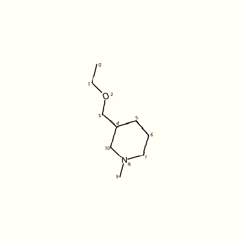 CCOCC1CCCN(C)C1